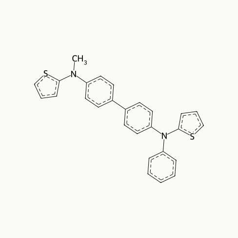 CN(c1ccc(-c2ccc(N(c3ccccc3)c3cccs3)cc2)cc1)c1cccs1